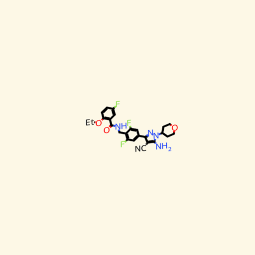 CCOc1ccc(F)cc1C(=O)NCc1c(F)cc(-c2nn(C3CCOCC3)c(N)c2C#N)cc1F